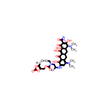 CCC(CN(CC=O)C(=O)OCc1oc(=O)oc1C)Nc1cc(N(C)C)c2c(c1O)C(=O)C1=C(O)[C@]3(O)C(=O)C(C(N)=O)=C(O)[C@@H](N(C)C)C3CC1C2